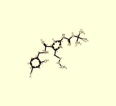 COSCc1nc(NC(=O)OC(C)(C)C)sc1C(=O)NCc1ccc(F)cc1Cl